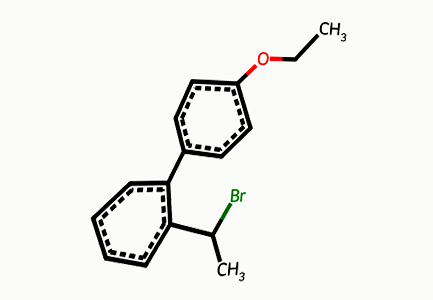 CCOc1ccc(-c2ccccc2C(C)Br)cc1